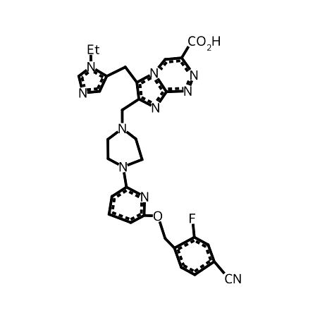 CCn1cncc1Cc1c(CN2CCN(c3cccc(OCc4ccc(C#N)cc4F)n3)CC2)nc2nnc(C(=O)O)cn12